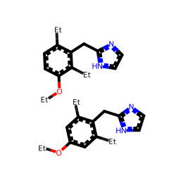 CCOc1cc(CC)c(Cc2ncc[nH]2)c(CC)c1.CCOc1ccc(CC)c(Cc2ncc[nH]2)c1CC